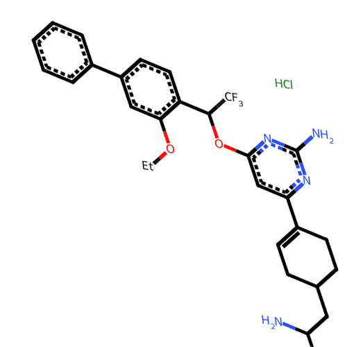 CCOc1cc(-c2ccccc2)ccc1C(Oc1cc(C2=CCC(CC(N)C(=O)O)CC2)nc(N)n1)C(F)(F)F.Cl